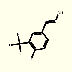 ON=Cc1ccc(Cl)c(C(F)(F)F)c1